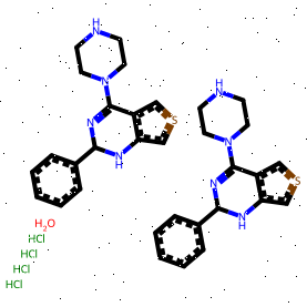 Cl.Cl.Cl.Cl.O.c1ccc(C2N=C(N3CCNCC3)c3cscc3N2)cc1.c1ccc(C2N=C(N3CCNCC3)c3cscc3N2)cc1